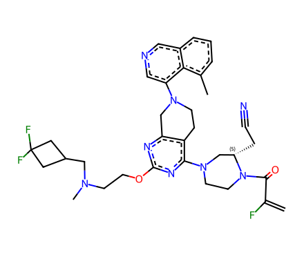 C=C(F)C(=O)N1CCN(c2nc(OCCN(C)CC3CC(F)(F)C3)nc3c2CCN(c2cncc4cccc(C)c24)C3)C[C@@H]1CC#N